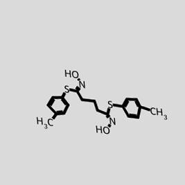 Cc1ccc(S/C(CCC/C(=N\O)Sc2ccc(C)cc2)=N\O)cc1